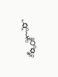 CC(C)(CCCOc1ccc(F)cc1F)C(=O)N[C@H]1CC[C@H](Oc2ccc(S(C)(=O)=O)cc2)CC1